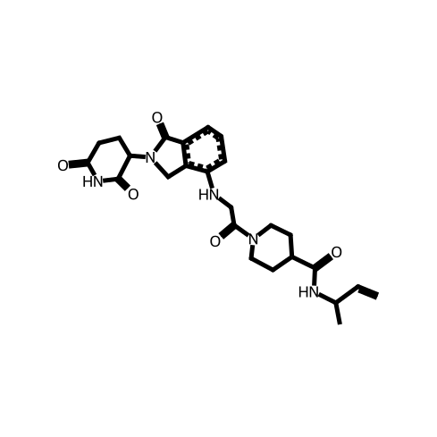 C=CC(C)NC(=O)C1CCN(C(=O)CNc2cccc3c2CN(C2CCC(=O)NC2=O)C3=O)CC1